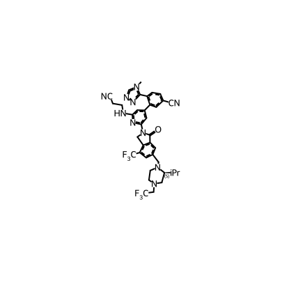 CC(C)[C@H]1CN(CC(F)(F)F)CCN1Cc1cc2c(c(C(F)(F)F)c1)CN(c1cc(-c3cc(C#N)ccc3-c3nncn3C)cc(NCCC#N)n1)C2=O